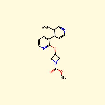 CNc1cnccc1-c1cccnc1OC1CN(C(=O)OC(C)(C)C)C1